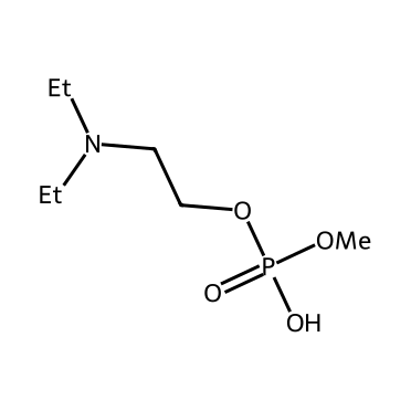 CCN(CC)CCOP(=O)(O)OC